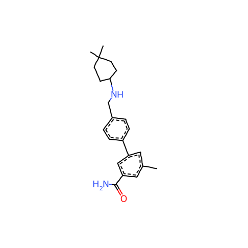 Cc1cc(C(N)=O)cc(-c2ccc(CNC3CCC(C)(C)CC3)cc2)c1